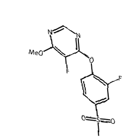 COc1ncnc(Oc2ccc(S(C)(=O)=O)cc2F)c1F